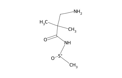 C[S+]([O-])NC(=O)C(C)(C)CN